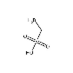 BCS(=O)(=O)O